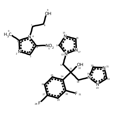 Cc1ncc([N+](=O)[O-])n1CCO.OC(Cn1cncn1)(Cn1cncn1)c1ccc(F)cc1F